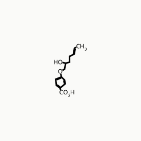 C/C=C/CCC(O)COc1ccc(C(=O)O)cc1